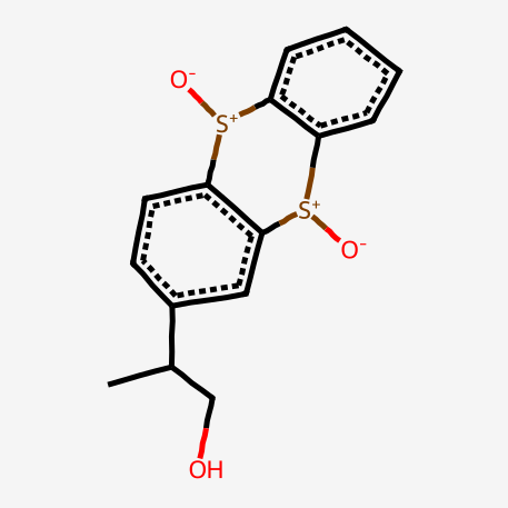 CC(CO)c1ccc2c(c1)[S+]([O-])c1ccccc1[S+]2[O-]